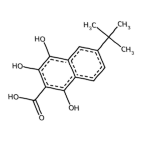 CC(C)(C)c1ccc2c(O)c(C(=O)O)c(O)c(O)c2c1